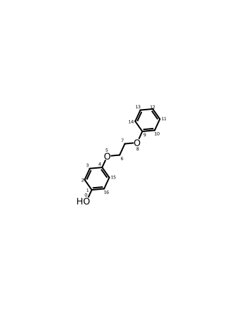 Oc1ccc(OCCOc2ccccc2)cc1